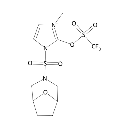 C[n+]1ccn(S(=O)(=O)N2CC3CCC(C2)O3)c1OS(=O)(=O)C(F)(F)F